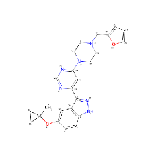 CC1(Oc2ccc3[nH]nc(-c4cc(N5CCN(Cc6ccco6)CC5)ncn4)c3c2)CC1